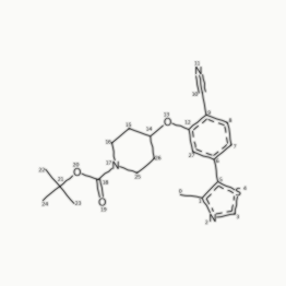 Cc1ncsc1-c1ccc(C#N)c(OC2CCN(C(=O)OC(C)(C)C)CC2)c1